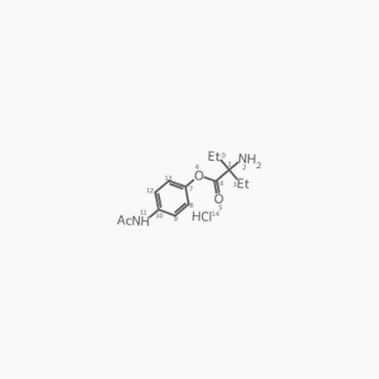 CCC(N)(CC)C(=O)Oc1ccc(NC(C)=O)cc1.Cl